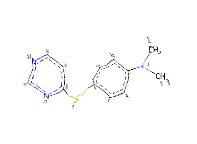 CI(C)c1ccc(Sc2ccncn2)cc1